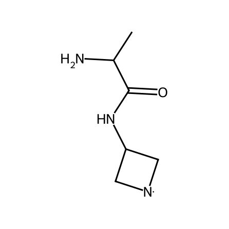 CC(N)C(=O)NC1C[N]C1